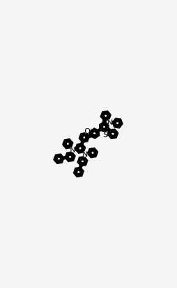 c1ccc(-c2ccc(N(c3ccccc3)c3cc(-c4ccc5oc6cc(-c7cc8c9ccccc9n(-c9ccccc9)c8c8c7sc7ccccc78)ccc6c5c4)cc(N(c4ccccc4)c4cccc(-c5ccccc5)c4)c3)cc2)cc1